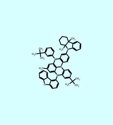 Cc1cc2c3c(c1)N(c1cccc4oc5ccccc5c14)c1cc(C(C)(C)C)ccc1B3c1ccc(N3c4ccccc4C4(C)CCCCC34C)cc1N2c1cccc(C(C)(C)C)c1